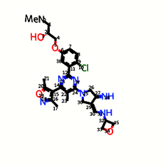 CNC[C@@H](O)COc1ccc(Cl)c(-c2nc(-c3c(C)noc3C)c(C)c(N3CC(=N)/C(=C\NC4COC4)C3)n2)c1